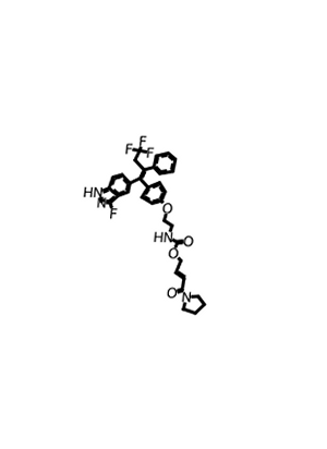 O=C(NCCOc1ccc(/C(=C(/CC(F)(F)F)c2ccccc2)c2ccc3[nH]nc(F)c3c2)cc1)OC/C=C/C(=O)N1CCCC1